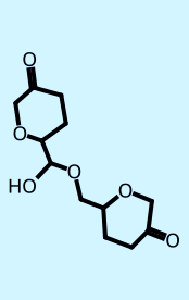 O=C1CCC(COC(O)C2CCC(=O)CO2)OC1